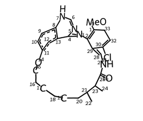 COC1=C2/N=C3\N=CNc4ccc(cc43)OCCCCCCC(C)C(C)C(=O)N/C=C/2C(Cl)=CC1